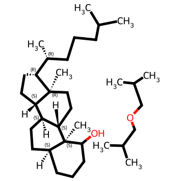 CC(C)CCC[C@@H](C)[C@H]1CC[C@H]2[C@@H]3CC[C@@H]4CCCC(O)[C@]4(C)[C@H]3CC[C@]12C.CC(C)COCC(C)C